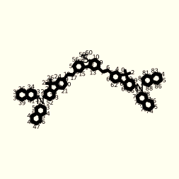 CC1(C)c2cc(/C=C/c3ccc4c(c3)-c3cc(/C=C/c5ccc6c(c5)C(C)(C)c5cc(N(c7ccc8ccccc8c7)c7ccc8ccccc8c7)ccc5-6)ccc3S4(C)C)ccc2-c2ccc(N(c3ccc4ccccc4c3)c3ccc4ccccc4c3)cc21